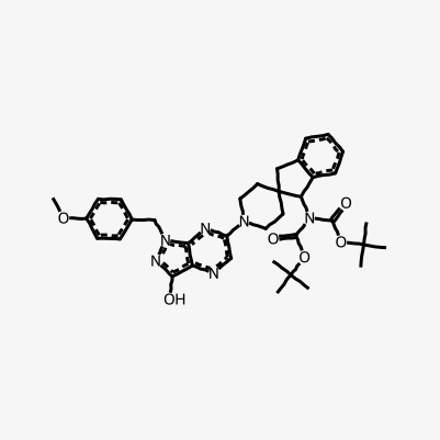 COc1ccc(Cn2nc(O)c3ncc(N4CCC5(CC4)Cc4ccccc4C5N(C(=O)OC(C)(C)C)C(=O)OC(C)(C)C)nc32)cc1